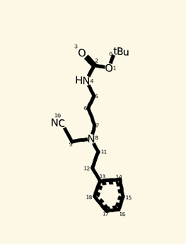 CC(C)(C)OC(=O)NCCCN(CC#N)CCc1ccccc1